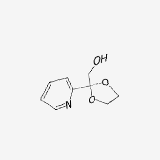 OCC1(c2ccccn2)OCCO1